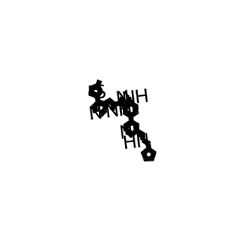 Cc1ccc(-c2cncc3[nH]c(-c4n[nH]c5ccc(-c6cncc(CNCC7CCCC7)c6)cc45)cc23)s1